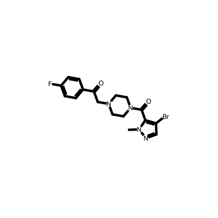 Cn1ncc(Br)c1C(=O)N1CCN(CC(=O)c2ccc(F)cc2)CC1